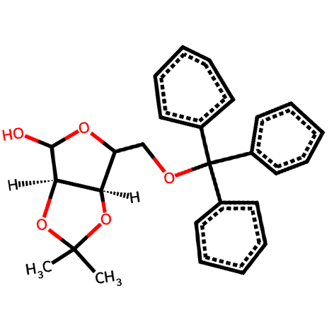 CC1(C)O[C@@H]2C(COC(c3ccccc3)(c3ccccc3)c3ccccc3)OC(O)[C@@H]2O1